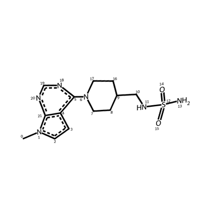 Cn1ccc2c(N3CCC(CNS(N)(=O)=O)CC3)ncnc21